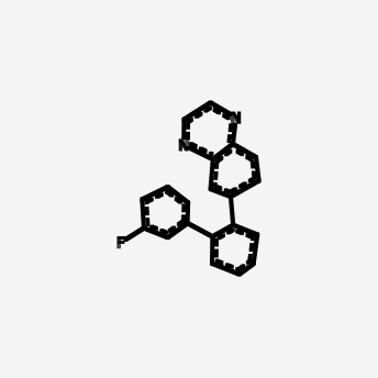 Fc1cccc(-c2ccccc2-c2ccc3nccnc3c2)c1